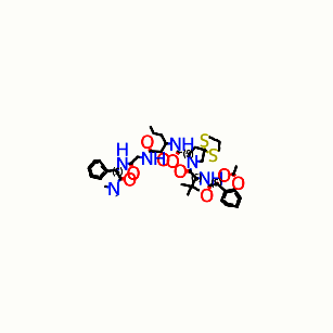 CCCC(NC(=O)[C@@H]1CC2(CN1C(=O)[C@@H](NC(=O)[C@@H](OC(C)=O)c1ccccc1)C(C)(C)C)SCCCS2)C(=O)C(=O)NCC(=O)N[C@H](C(=O)N(C)C)c1ccccc1